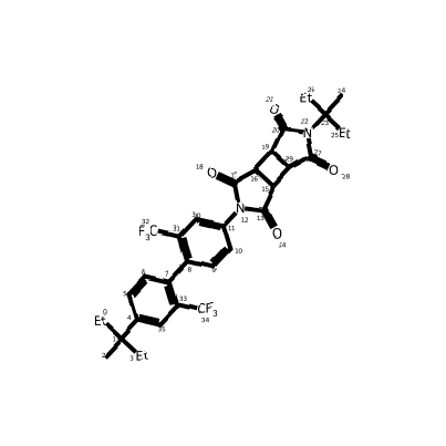 CCC(C)(CC)c1ccc(-c2ccc(N3C(=O)C4C(C3=O)C3C(=O)N(C(C)(CC)CC)C(=O)C43)cc2C(F)(F)F)c(C(F)(F)F)c1